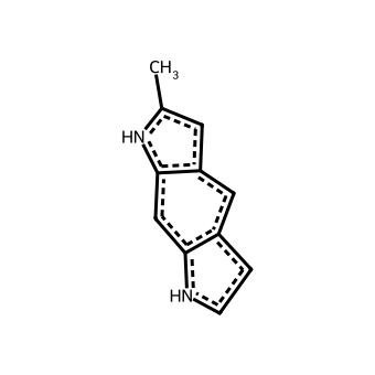 Cc1cc2cc3cc[nH]c3cc2[nH]1